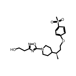 C[C@H](CCOc1ccc(S(C)(=O)=O)cc1)C1CCN(c2nc(CCO)no2)CC1